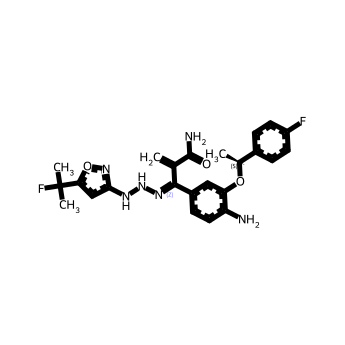 C=C(C(N)=O)/C(=N\NNc1cc(C(C)(C)F)on1)c1ccc(N)c(O[C@@H](C)c2ccc(F)cc2)c1